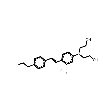 C.OCCN(CCO)c1ccc(/C=C/c2cc[n+](CCS)cc2)cc1